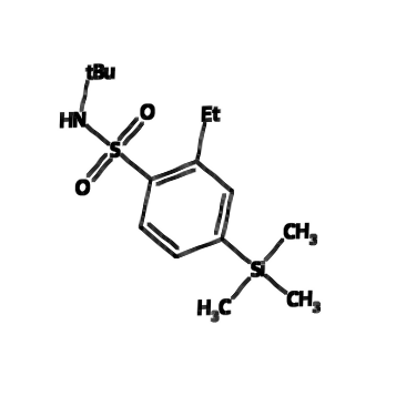 CCc1cc([Si](C)(C)C)ccc1S(=O)(=O)NC(C)(C)C